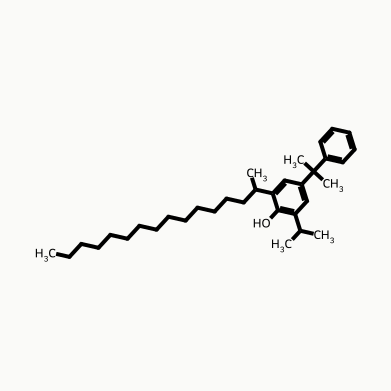 CCCCCCCCCCCCCCC(C)c1cc(C(C)(C)c2ccccc2)cc(C(C)C)c1O